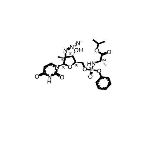 CC(C)OC(=O)[C@H](C)N[P@@](=O)(OC[C@H]1O[C@@H](n2ccc(=O)[nH]c2=O)[C@](C)(N=[N+]=[N-])[C@@H]1O)Oc1ccccc1